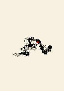 CC(C)[C@H](NC(=O)C[C@H](c1cn(CCCS(=O)(=O)O)nn1)N1C(=O)C=CC1=O)C(=O)N[C@@H](C)C(=O)Nc1ccc(COC(=O)N(CCOC23CC4(C)CC(C)(CC(Cn5cc(-c6ccc(N7CCc8cccc(C(=O)Nc9nc%10ccccc%10s9)c8C7)nc6C(=O)O)cn5)(C4)C2)C3)CCS(=O)(=O)O)c(CC[C@@H]2O[C@H](C(O)O)[C@@H](O)[C@H](O)[C@H]2O)c1